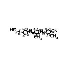 Cc1cc(/N=N/c2ccc(/N=N/c3ccc(CCCO)cc3)c(C)c2)ccc1C#N